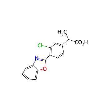 CC(C(=O)O)c1ccc(-c2nc3ccccc3o2)c(Cl)c1